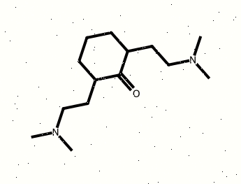 CN(C)CCC1CCCC(CCN(C)C)C1=O